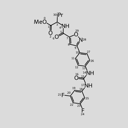 COC(=O)C(NC(=O)c1cc(-c2ccc(NC(=O)Nc3cc(F)cc(F)c3)cc2)no1)C(C)C